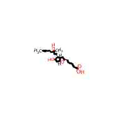 CC#CCCC(C)(O)/C=C/[C@@H]1[C@H]2C[C@@H](CCCCC(=O)O)O[C@H]2C[C@H]1O